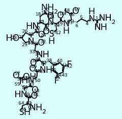 N=C(N)NCCC[C@H](NC(=O)[C@@H](CS)NC(=O)[C@H](CC(N)=O)NC(=O)C1CC(O)CN1C(=O)CNC(=O)[C@H](Cc1cc(F)cc(F)c1)NC(=O)CNC(=O)[C@@H](CC(=O)O)NC(=O)[C@H](N)CS)C(=O)I